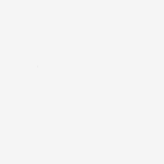 C=CCC1CCC(c2ccc(C(OCC)OCC)cc2)CC1